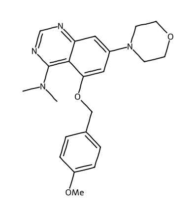 COc1ccc(COc2cc(N3CCOCC3)cc3ncnc(N(C)C)c23)cc1